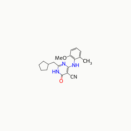 COc1cccc(C)c1Nc1nc(CC2CCCC2)[nH]c(=O)c1C#N